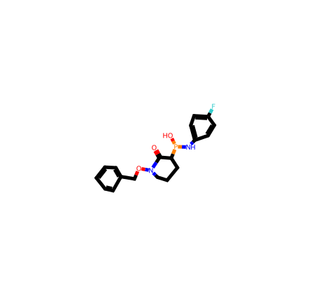 O=C1C(P(O)Nc2ccc(F)cc2)CCCN1OCc1ccccc1